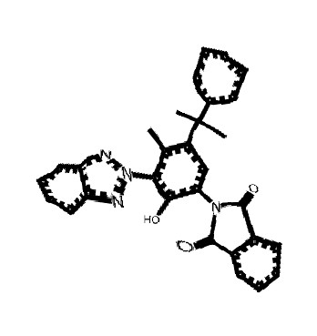 Cc1c(C(C)(C)c2ccccc2)cc(N2C(=O)c3ccccc3C2=O)c(O)c1-n1nc2ccccc2n1